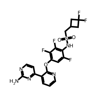 Nc1nccc(-c2cccnc2Oc2cc(F)c(NS(=O)(=O)CC3CC(F)(F)C3)c(F)c2F)n1